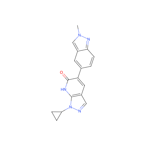 Cn1cc2cc(-c3cc4cnn(C5CC5)c4[nH]c3=O)ccc2n1